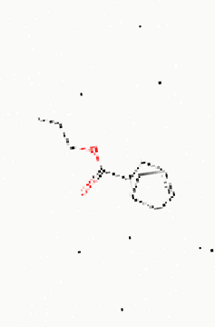 CCCOC(=O)C1CC2=CCC1C2